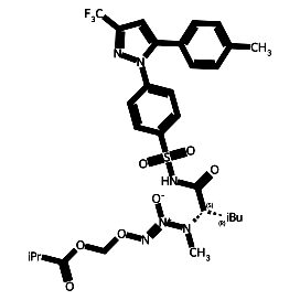 CC[C@@H](C)[C@@H](C(=O)NS(=O)(=O)c1ccc(-n2nc(C(F)(F)F)cc2-c2ccc(C)cc2)cc1)N(C)[N+]([O-])=NOCOC(=O)C(C)C